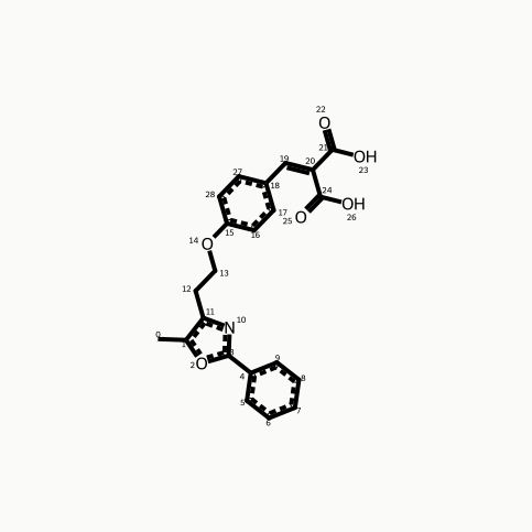 Cc1oc(-c2ccccc2)nc1CCOc1ccc(C=C(C(=O)O)C(=O)O)cc1